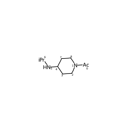 CC(=O)N1CCC(NC(C)C)CC1